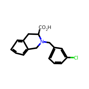 O=C(O)C1Cc2ccccc2CN1Cc1cccc(Cl)c1